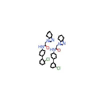 O=C(Cn1cnc2ccccc21)Nc1ccc(-c2cccc(Cl)c2)cc1.O=C(Cn1cnc2ccccc21)Nc1ccc(-c2ccccc2Cl)cc1